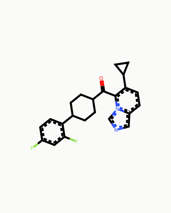 O=C(c1c(C2CC2)ccc2cncn12)C1CCC(c2ccc(F)cc2F)CC1